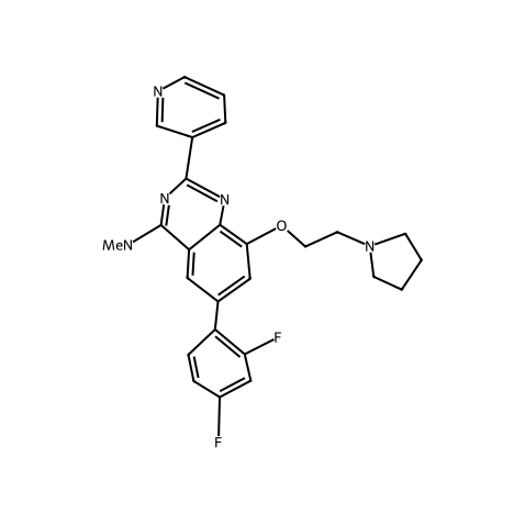 CNc1nc(-c2cccnc2)nc2c(OCCN3CCCC3)cc(-c3ccc(F)cc3F)cc12